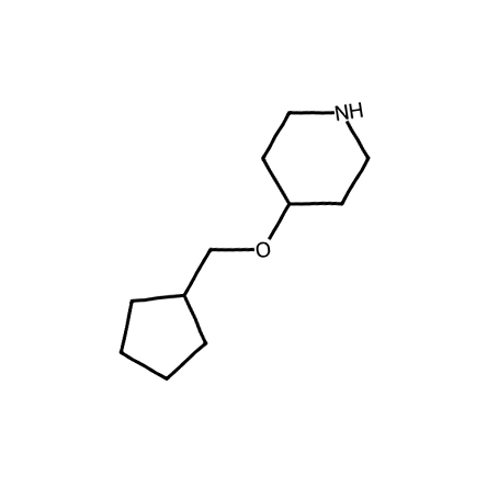 C1CCC(COC2CCNCC2)C1